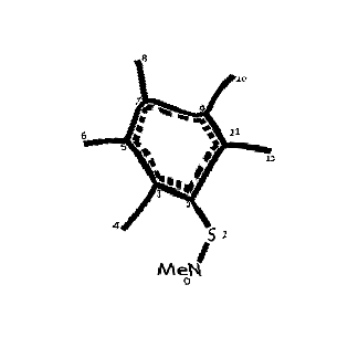 CNSc1c(C)c(C)c(C)c(C)c1C